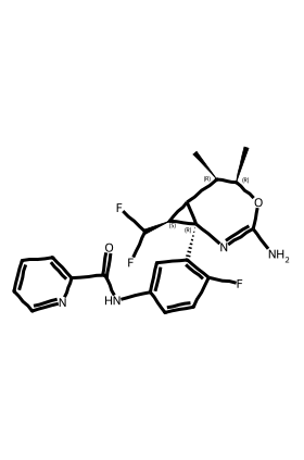 C[C@@H]1C2[C@H](C(F)F)[C@]2(c2cc(NC(=O)c3ccccn3)ccc2F)N=C(N)O[C@@H]1C